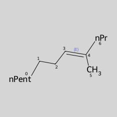 CCCCCCC/C=C(\C)CCC